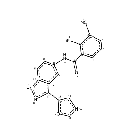 CC(C)c1c(C#N)cccc1C(=O)Nc1ccc2[nH]nc(-c3cnco3)c2c1